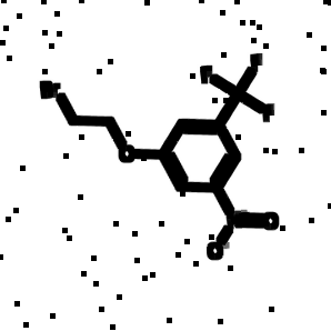 O=[N+]([O-])c1cc(OCCBr)cc(C(F)(F)F)c1